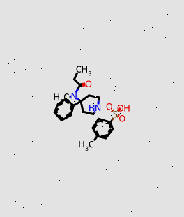 CCC(=O)N(C)C1(c2ccccc2)CCNCC1.Cc1ccc(S(=O)(=O)O)cc1